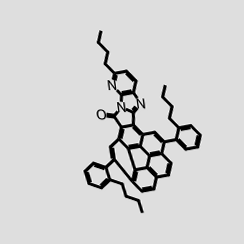 CCCCc1ccc2nc3c4c5cc(-c6ccccc6CCCC)c6ccc7ccc8c(-c9ccccc9CCCC)cc(c4c(=O)n3c2n1)c1c8c7c6c51